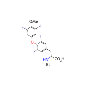 CCNC(Cc1cc(I)c(Oc2cc(I)c(OC)c(I)c2)c(I)c1)C(=O)O